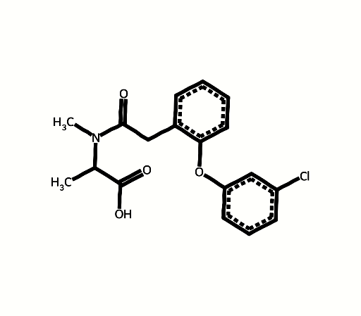 CC(C(=O)O)N(C)C(=O)Cc1ccccc1Oc1cccc(Cl)c1